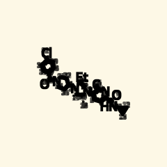 CC[C@H]1CN(c2ccc(C(=O)NC3CC3)nc2C(F)(F)F)[C@H](C)CN1C1CCN(C(=O)c2ccc(Cl)cc2)CC1